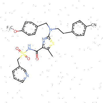 Cc1sc(N(CCc2ccc(C#N)cc2)Cc2ccc(OC(F)(F)F)cc2)nc1C(=O)NS(=O)(=O)Cc1cccnc1